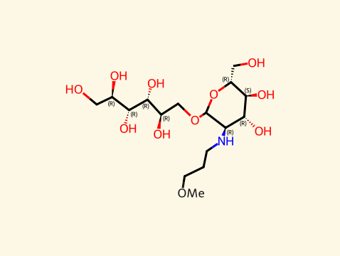 COCCCN[C@H]1C(OC[C@@H](O)[C@@H](O)[C@H](O)[C@H](O)CO)O[C@H](CO)[C@@H](O)[C@@H]1O